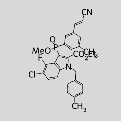 CCOC(=O)c1c(P(=O)(OC)c2cc(C)cc(/C=C/C#N)c2)c2c(F)c(Cl)ccc2n1Cc1ccc(C)cc1